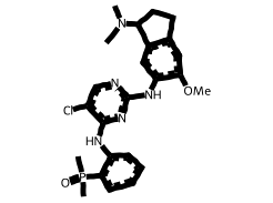 COc1cc2c(cc1Nc1ncc(Cl)c(Nc3ccccc3P(C)(C)=O)n1)C(N(C)C)CC2